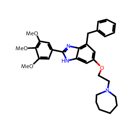 COc1cc(-c2nc3c(Cc4ccccc4)cc(OCCN4CCCCCC4)cc3[nH]2)cc(OC)c1OC